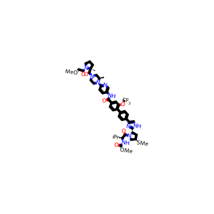 COCC(=O)N1CCC[C@@]1(C)C(=O)N1CCN(c2ccc(NC(=O)c3ccc(-c4ccc(-c5c[nH]c([C@@H]6C[C@H](SC)CN6C(=O)[C@@H](NC(=O)OC)C(C)C)n5)cc4)c(OC(F)(F)F)c3)cn2)[C@H](C)C1